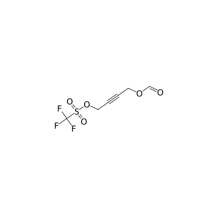 O=COCC#CCOS(=O)(=O)C(F)(F)F